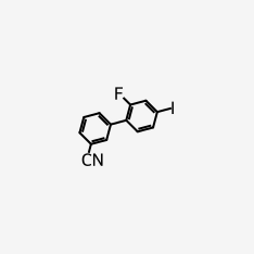 N#Cc1cccc(-c2ccc(I)cc2F)c1